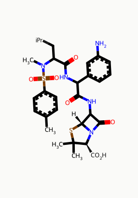 Cc1ccc(S(=O)(=O)N(C)C(CC(C)C)C(=O)NC(C(=O)NC2C(=O)N3[C@@H]2SC(C)(C)[C@@H]3C(=O)O)c2cccc(N)c2)cc1